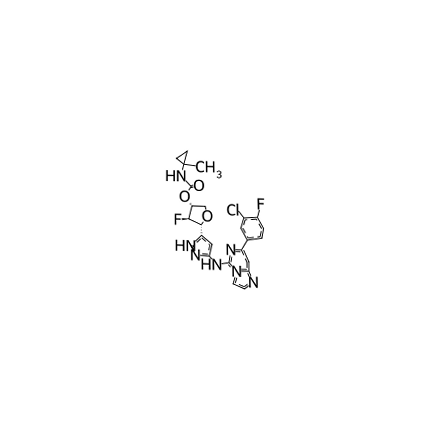 CC1(NC(=O)O[C@@H]2CO[C@H](c3cc(Nc4nc(-c5ccc(F)c(Cl)c5)cc5nccn45)n[nH]3)[C@H]2F)CC1